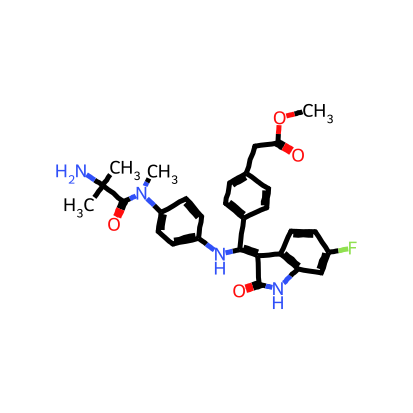 COC(=O)Cc1ccc(/C(Nc2ccc(N(C)C(=O)C(C)(C)N)cc2)=C2/C(=O)Nc3cc(F)ccc32)cc1